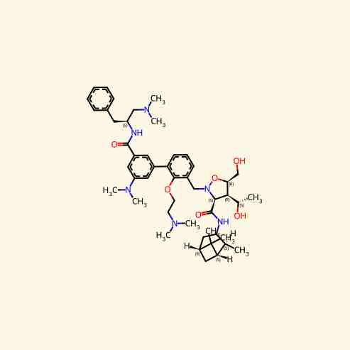 C[C@H](O)[C@@H]1[C@H](CO)ON(Cc2cccc(-c3cc(C(=O)N[C@@H](Cc4ccccc4)CN(C)C)cc(N(C)C)c3)c2OCCN(C)C)[C@@H]1C(=O)NC1C[C@H]2C[C@@H]([C@@H]1C)C2(C)C